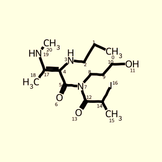 CCCN/C(C(=O)N(CCCO)C(=O)C(C)I)=C(/C)NC